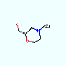 CC(C)(C)N1CCOC(CO)C1